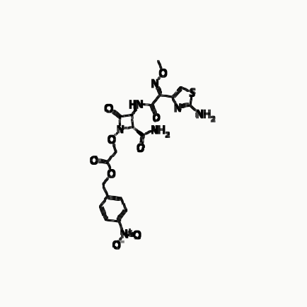 CON=C(C(=O)N[C@@H]1C(=O)N(OCC(=O)OCc2ccc([N+](=O)[O-])cc2)[C@@H]1C(N)=O)c1csc(N)n1